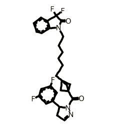 O=C(N1N=CCC1c1cc(F)cc(F)c1)C12CC(CCCCCCN3C(=O)C(F)(F)c4ccccc43)(C1)C2